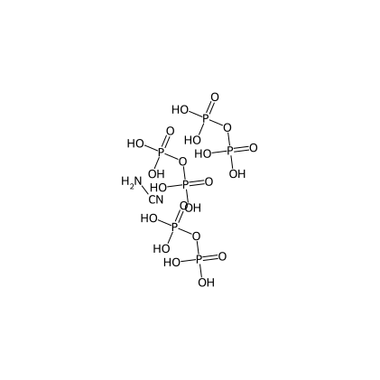 N#CN.O=P(O)(O)OP(=O)(O)O.O=P(O)(O)OP(=O)(O)O.O=P(O)(O)OP(=O)(O)O